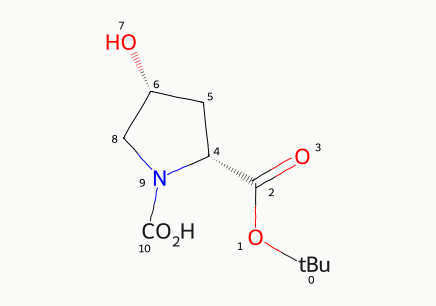 CC(C)(C)OC(=O)[C@H]1C[C@@H](O)CN1C(=O)O